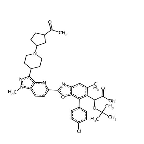 CC(=O)C1CCC(N2CCC(c3nn(C)c4ccc(-c5nc6cc(C)c(C(OC(C)(C)C)C(=O)O)c(-c7ccc(Cl)cc7)c6o5)nc34)CC2)C1